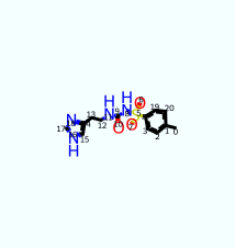 Cc1ccc(S(=O)(=O)NC(=O)NCCc2c[nH]cn2)cc1